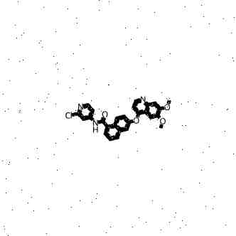 COc1cc2nccc(Oc3ccc4c(C(=O)Nc5ccnc(Cl)c5)cccc4c3)c2cc1OC